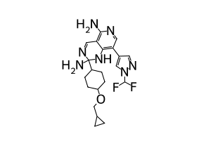 Nc1ncc(-c2cnn(C(F)F)c2)c2c1C=NC(N)(C1CCC(OCC3CC3)CC1)N2